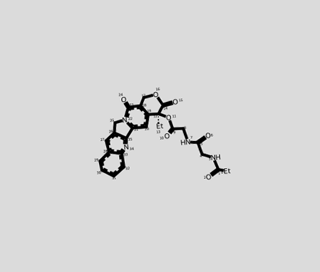 CCC(=O)NCC(=O)NCC(=O)O[C@]1(CC)C(=O)OCc2c1cc1n(c2=O)Cc2cc3ccccc3nc2-1